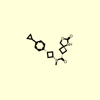 CN(C(=O)[C@H]1C[C@]2(COC(=O)N2)C1)[C@H]1C[C@@H](c2ccc(C3CC3)cc2)C1